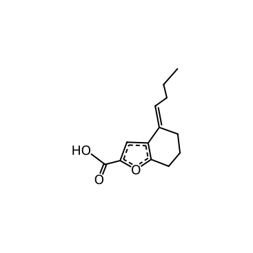 CCC/C=C1\CCCc2oc(C(=O)O)cc21